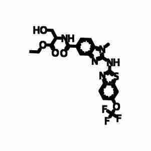 CCOC(=O)C(CO)NC(=O)c1ccc2c(c1)nc(Nc1nc3ccc(OC(F)(F)F)cc3s1)n2C